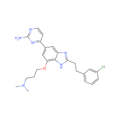 CN(C)CCCOc1cc(-c2ccnc(N)n2)cc2nc(CCc3cccc(Cl)c3)[nH]c12